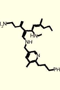 C=C(CCN)/C(=C/NCc1cnc(CCCP)c(C)c1)C(/C=C(/C)CCC)NC